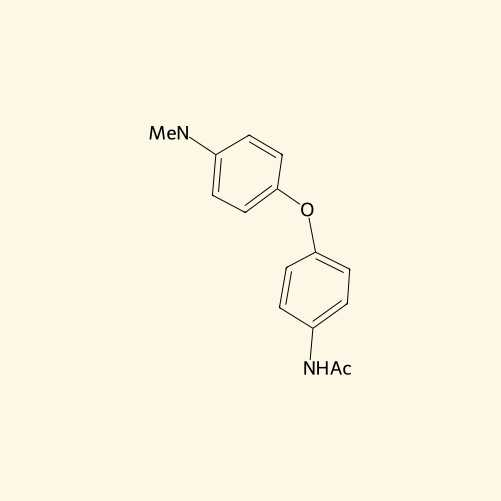 CNc1ccc(Oc2ccc(NC(C)=O)cc2)cc1